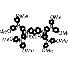 CCCCCCC1(CCCCCC)c2cc(-n3c4ccc(N(c5ccc(OC)cc5)c5ccc(OC)cc5)cc4c4cc(N(c5ccc(OC)cc5)c5ccc(OC)cc5)ccc43)ccc2-c2ccc(-n3c4ccc(N(c5ccc(OC)cc5)c5ccc(OC)cc5)cc4c4cc(N(c5ccc(OC)cc5)c5ccc(OC)cc5)ccc43)cc21